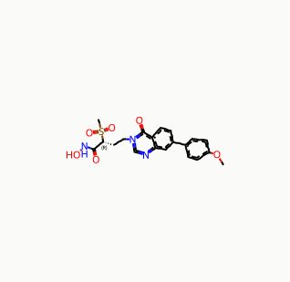 COc1ccc(-c2ccc3c(=O)n(CC[C@H](C(=O)NO)S(C)(=O)=O)cnc3c2)cc1